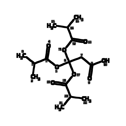 CC(C)C(=O)OC(CC(=O)O)(OC(=O)C(C)C)OC(=O)C(C)C